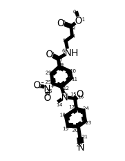 COC(=O)CCNC(=O)c1ccc(N(C)C(=O)c2ccc(C#N)cc2)c([N+](=O)[O-])c1